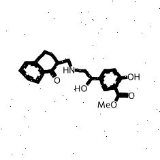 COC(=O)c1cc(C(O)CNCC2CCc3ccccc3C2=O)ccc1O